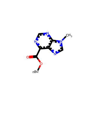 CCCCOC(=O)c1ncnc2c1ncn2C